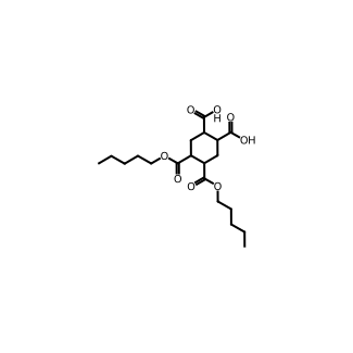 CCCCCOC(=O)C1CC(C(=O)O)C(C(=O)O)CC1C(=O)OCCCCC